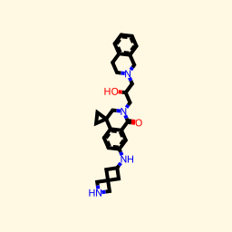 O=C1c2cc(NC3CC4(CNC4)C3)ccc2C2(CC2)CN1CC(O)CN1CCc2ccccc2C1